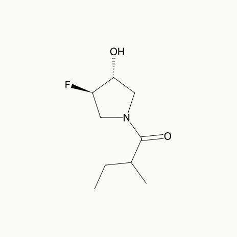 CCC(C)C(=O)N1C[C@@H](O)[C@H](F)C1